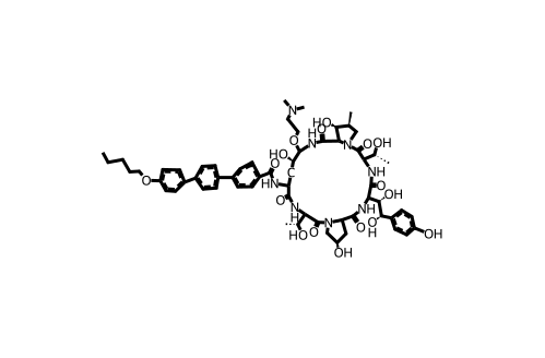 CCCCCOc1ccc(-c2ccc(-c3ccc(C(=O)NC4C[C@@H](O)C(OCCN(C)C)NC(=O)C5[C@@H](O)[C@@H](C)CN5C(=O)C([C@@H](C)O)NC(=O)C([C@H](O)[C@@H](O)c5ccc(O)cc5)NC(=O)C5C[C@@H](O)CN5C(=O)C([C@@H](C)O)NC4=O)cc3)cc2)cc1